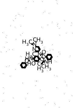 CCN(CC)c1ccc(N(C(=O)Oc2ccccc2)c2cc(NCOc3ccccc3)c(O)cc2OC(=N)C(C)C)c(C)n1